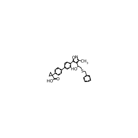 Cc1noc(-c2ccc(-c3ccc(C4(C(=O)O)CC4)cc3)cc2)c1C(O)CSCc1ccccc1